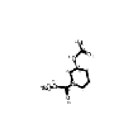 CCC(=O)O[C@H]1CCCN(C(=O)OC(C)(C)C)C1